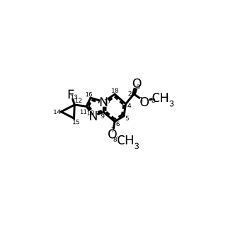 COC(=O)c1cc(OC)c2nc(C3(F)CC3)cn2c1